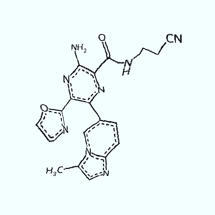 Cc1cnc2ccc(-c3nc(C(=O)NCCC#N)c(N)nc3-c3ncco3)cn12